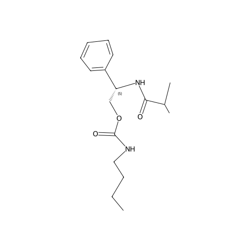 CCCCNC(=O)OC[C@@H](NC(=O)C(C)C)c1ccccc1